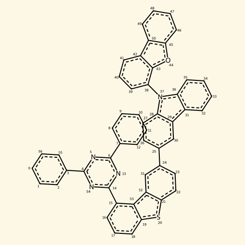 c1ccc(-c2nc(-c3ccccc3)nc(-c3cccc4sc5ccc(-c6ccc7c(c6)c6ccccc6n7-c6cccc7c6oc6ccccc67)cc5c34)n2)cc1